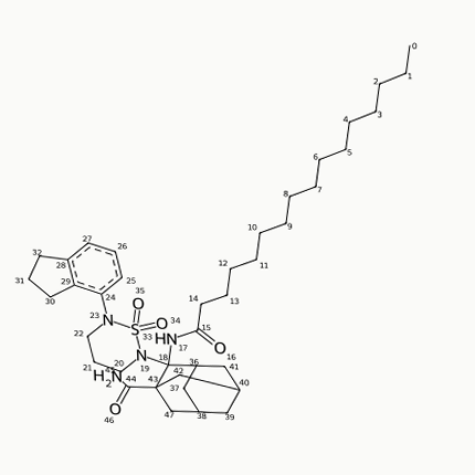 CCCCCCCCCCCCCCCC(=O)NC1(N2CCCN(c3cccc4c3CCC4)S2(=O)=O)C2CC3CC(C2)CC1(C(N)=O)C3